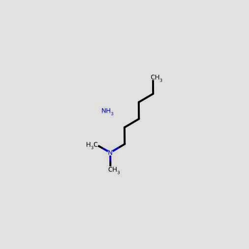 CCCCCCN(C)C.N